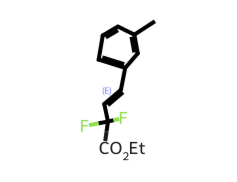 CCOC(=O)C(F)(F)/C=C/c1cccc(C)c1